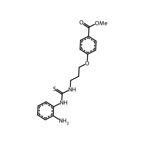 COC(=O)c1ccc(OCCCNC(=S)Nc2ccccc2N)cc1